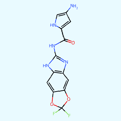 Nc1c[nH]c(C(=O)Nc2nc3cc4c(cc3[nH]2)OC(F)(F)O4)c1